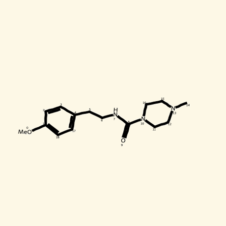 COc1ccc(CCNC(=O)N2CCN(C)CC2)cc1